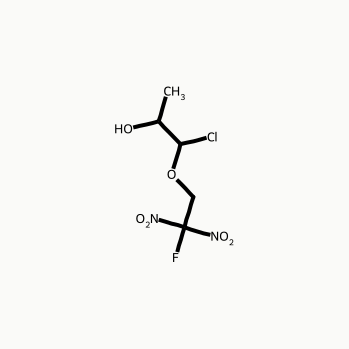 CC(O)C(Cl)OCC(F)([N+](=O)[O-])[N+](=O)[O-]